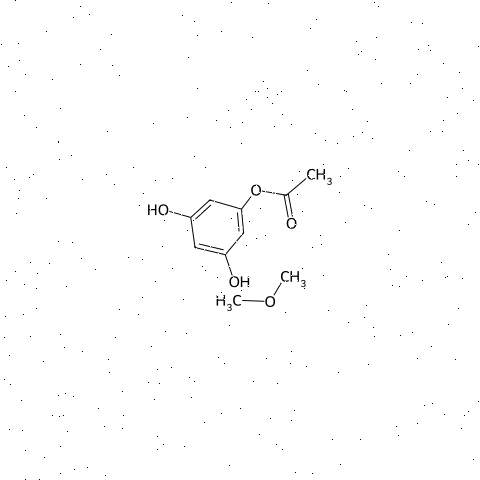 CC(=O)Oc1cc(O)cc(O)c1.COC